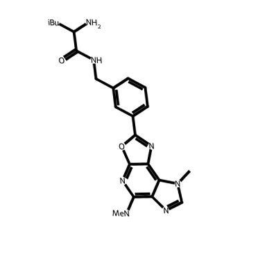 CCC(C)C(N)C(=O)NCc1cccc(-c2nc3c(nc(NC)c4ncn(C)c43)o2)c1